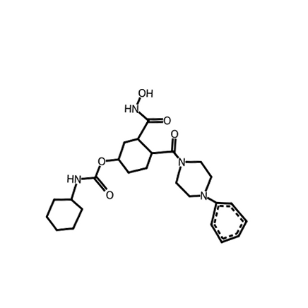 O=C(NC1CCCCC1)OC1CCC(C(=O)N2CCN(c3ccccc3)CC2)C(C(=O)NO)C1